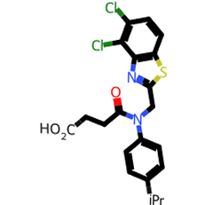 CC(C)c1ccc(N(Cc2nc3c(Cl)c(Cl)ccc3s2)C(=O)CCC(=O)O)cc1